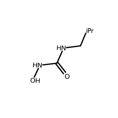 CC(C)CNC(=O)NO